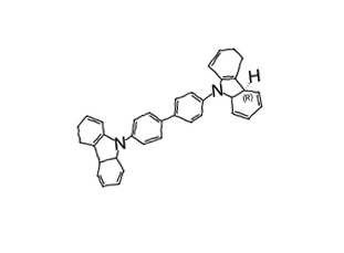 C1=CC2C3=C(C=CCC3)N(c3ccc(-c4ccc(N5C6=C(CCC=C6)[C@H]6C=CC=CC65)cc4)cc3)C2C=C1